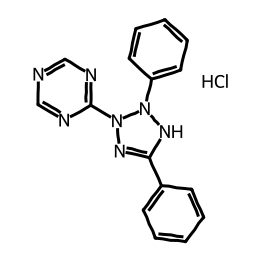 Cl.c1ccc(C2=NN(c3ncncn3)N(c3ccccc3)N2)cc1